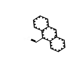 [CH]=Cc1c2ccccc2[c]c2ccccc12